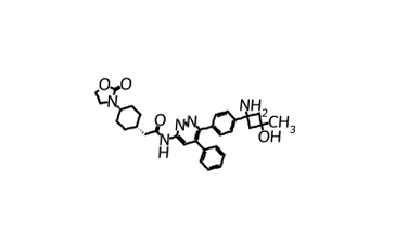 CC1(O)CC(N)(c2ccc(-c3nnc(NC(=O)C[C@H]4CC[C@H](N5CCOC5=O)CC4)cc3-c3ccccc3)cc2)C1